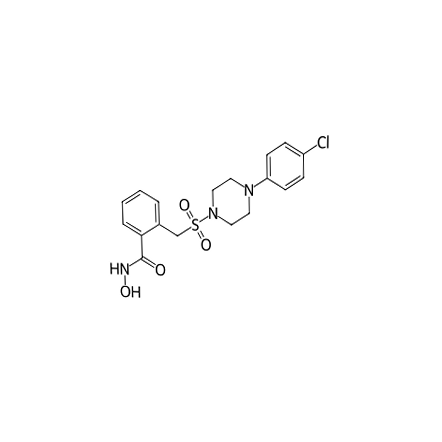 O=C(NO)c1ccccc1CS(=O)(=O)N1CCN(c2ccc(Cl)cc2)CC1